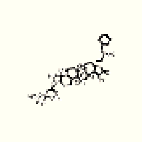 CC(=O)N(CC[C@@]12CC[C@]3(C)[C@H](CCC4[C@@]5(C)CC[C@H](OC(=O)CC(C)(C)C(=O)O)C(C)(C)C5CC[C@]43C)C1=C(C(C)C)C(=O)C2)Cc1ccccc1